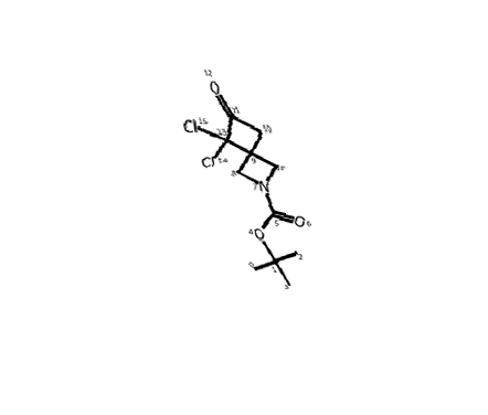 CC(C)(C)OC(=O)N1CC2(CC(=O)C2(Cl)Cl)C1